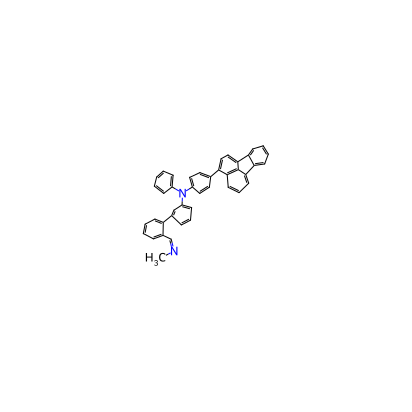 C/N=C\c1ccccc1-c1cccc(N(c2ccccc2)c2ccc(-c3ccc4c5c(cccc35)-c3ccccc3-4)cc2)c1